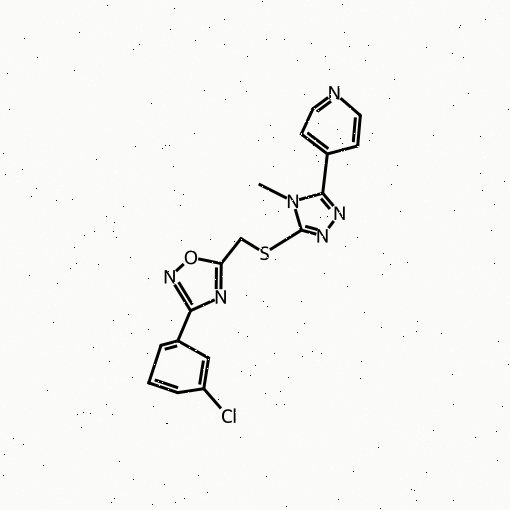 Cn1c(SCc2nc(-c3cccc(Cl)c3)no2)nnc1-c1ccncc1